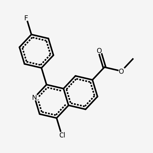 COC(=O)c1ccc2c(Cl)cnc(-c3ccc(F)cc3)c2c1